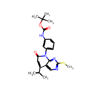 CSc1ncc2c(C(C)C)cc(=O)n(-c3cccc(NC(=O)OC(C)(C)C)c3)c2n1